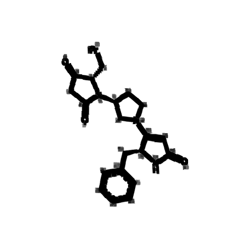 CC(C)C[C@H]1C(=O)CC(=O)N1[C@H]1CCN(C2=CC(=O)N[C@H]2Cc2ccccc2)C1